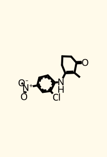 CC1=C(Nc2ccc([N+](=O)[O-])cc2Cl)CCCC1=O